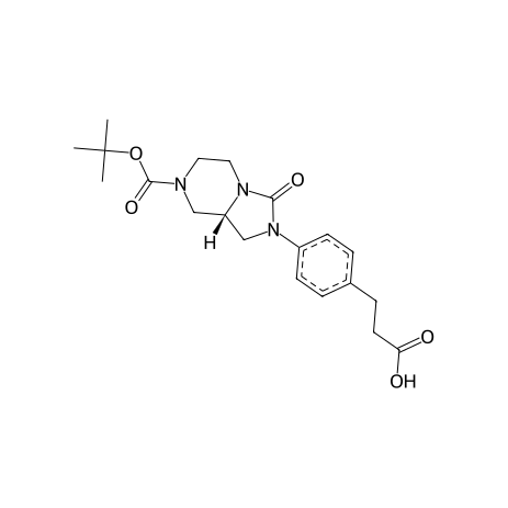 CC(C)(C)OC(=O)N1CCN2C(=O)N(c3ccc(CCC(=O)O)cc3)C[C@@H]2C1